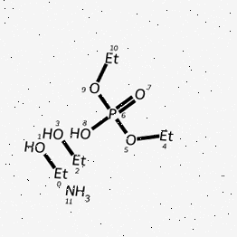 CCO.CCO.CCOP(=O)(O)OCC.N